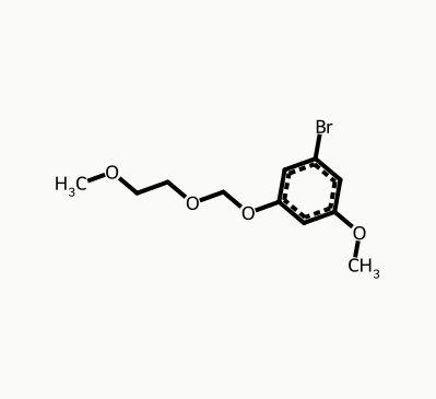 COCCOCOc1cc(Br)cc(OC)c1